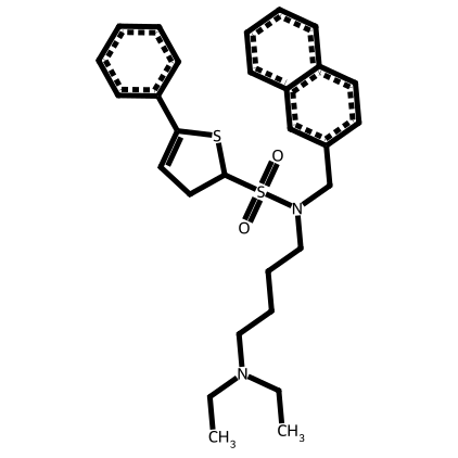 CCN(CC)CCCCN(Cc1ccc2ccccc2c1)S(=O)(=O)C1CC=C(c2ccccc2)S1